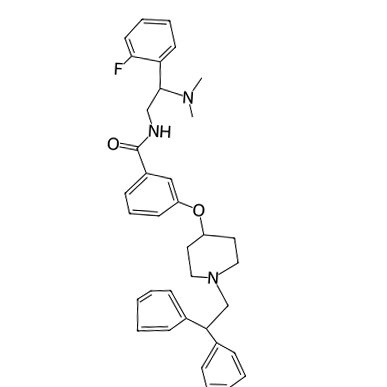 CN(C)C(CNC(=O)c1cccc(OC2CCN(CC(c3ccccc3)c3ccccc3)CC2)c1)c1ccccc1F